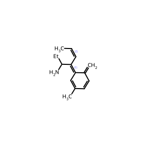 C=c1ccc(C)c/c1=C(/C=C\C)C(N)CC